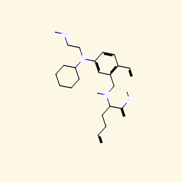 C=CCCC(C(=C)NC)N(C)Cc1cc(N(CCNC)C2CCCCC2)ccc1C=C